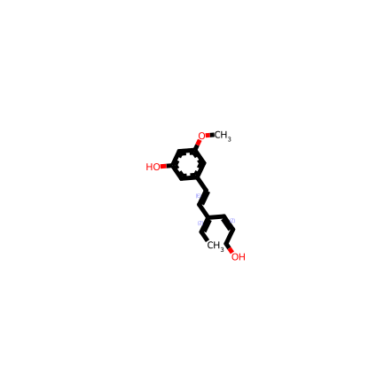 C/C=C(\C=C/CO)/C=C/c1cc(O)cc(OC)c1